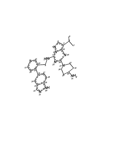 CC(C)c1cnn2c(NCc3ccccc3-c3ccc4[nH]ncc4c3)nc(N3CCC(N)CC3)nc12